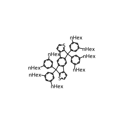 CCCCCCc1cc(CCCCCC)cc(C2(c3cc(CCCCCC)cc(CCCCCC)c3)c3cc4c(cc3-c3ccsc32)C(c2cc(CCCCCC)cc(CCCCCC)c2)(c2cc(CCCCCC)cc(CCCCCC)c2)c2sccc2-4)c1